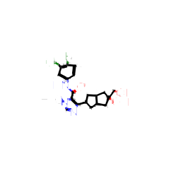 Cn1cnc(C2CC3CC(O)(CO)CC3C2)c1C(=O)Nc1ccc(F)c(Cl)c1